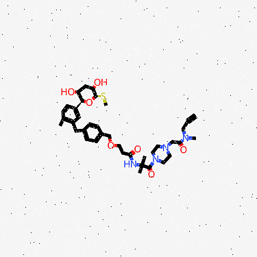 C#CCN(C)C(=O)CN1CCN(C(=O)C(C)(C)NC(=O)CCOCc2ccc(Cc3cc([C@@H]4O[C@H](SC)C(O)CC4O)ccc3C)cc2)CC1